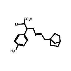 CCC(C(=O)O)C(CC=CCC12CCC(CC1)C2)c1ccc(C)cc1